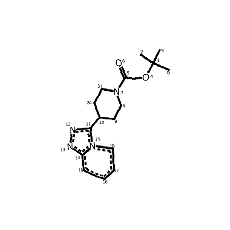 CC(C)(C)OC(=O)N1CCC(c2nnc3ccccn23)CC1